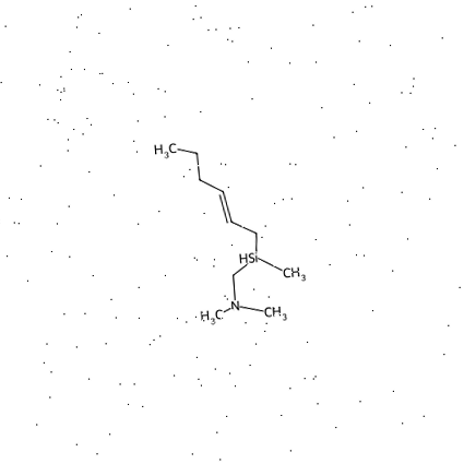 CCCC=CC[SiH](C)CN(C)C